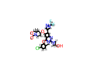 O=C1OC[C@@H]2C[C@@H](Oc3cc4c(=O)n(Cc5ccc(Cl)cc5)c(N5CC(O)C5)nc4cc3-c3cnn(C(F)F)c3)CCN12